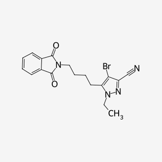 CCn1nc(C#N)c(Br)c1CCCCN1C(=O)c2ccccc2C1=O